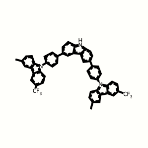 Cc1ccc2c(c1)c1cc(C(F)(F)F)ccc1n2-c1ccc(-c2ccc3[nH]c4ccc(-c5ccc(-n6c7ccc(C)cc7c7cc(C(F)(F)F)ccc76)cc5)cc4c3c2)cc1